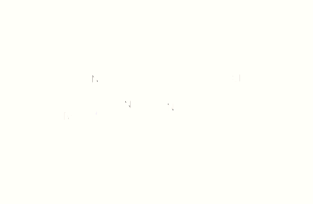 C=N/C(Br)=C\N=C(/C)N1CCC(C(F)(F)F)CC1